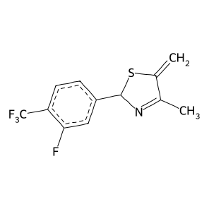 C=C1SC(c2ccc(C(F)(F)F)c(F)c2)N=C1C